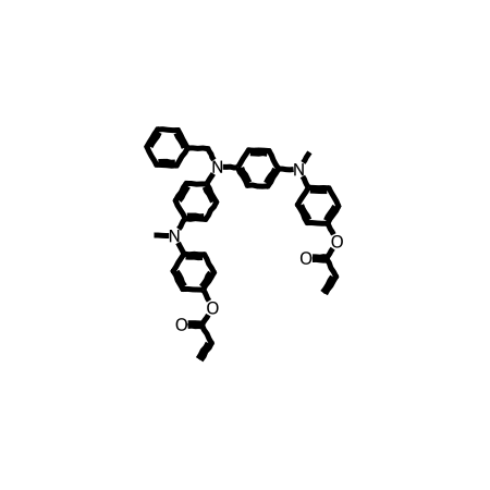 C=CC(=O)Oc1ccc(N(C)c2ccc(N(Cc3ccccc3)c3ccc(N(C)c4ccc(OC(=O)C=C)cc4)cc3)cc2)cc1